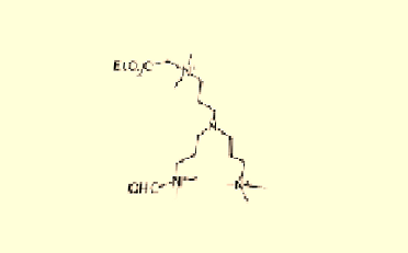 CCOC(=O)C[N+](C)(C)CCCN(CCC[N+](C)(C)C)CCC[N+](C)(C)C=O